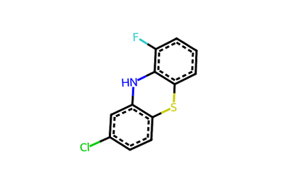 Fc1cccc2c1Nc1cc(Cl)ccc1S2